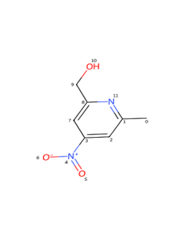 Cc1cc([N+](=O)[O-])cc(CO)n1